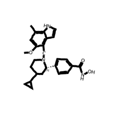 COc1cc(C)c2[nH]ccc2c1CN1CCC(C2CC2)C[C@H]1c1ccc(C(=O)NO)cc1